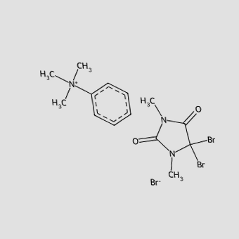 CN1C(=O)N(C)C(Br)(Br)C1=O.C[N+](C)(C)c1ccccc1.[Br-]